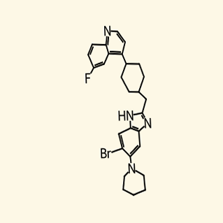 Fc1ccc2nccc(C3CCC(Cc4nc5cc(N6CCCCC6)c(Br)cc5[nH]4)CC3)c2c1